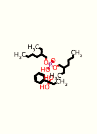 CCC(O)(O)c1ccccc1.CCCCC(CC)COP(=O)(O)OCC(CC)CCCC